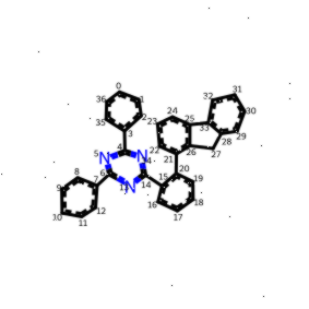 c1ccc(-c2nc(-c3ccccc3)nc(-c3ccccc3-c3cccc4c3Cc3ccccc3-4)n2)cc1